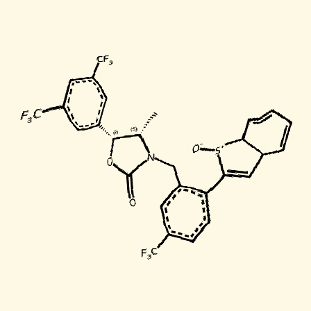 C[C@H]1[C@@H](c2cc(C(F)(F)F)cc(C(F)(F)F)c2)OC(=O)N1Cc1cc(C(F)(F)F)ccc1C1=CC2C=CC=CC2[S+]1[O-]